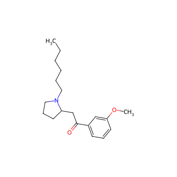 CCCCCCN1CCCC1CC(=O)c1cccc(OC)c1